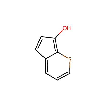 Oc1ccc2cccsc1-2